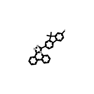 CC1(C)c2cc(I)ccc2-c2ccc(-c3nnc4c5ccccc5c5ccccc5n34)cc21